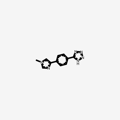 Cn1cnc(-c2ccc(-c3nnn[nH]3)cc2)c1